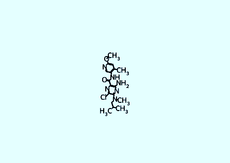 COc1cc(C)c(NC(=O)c2nc(Cl)c(N(C)CC(C)C)nc2N)cn1